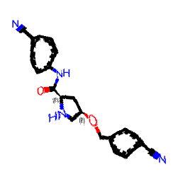 N#Cc1ccc(CO[C@H]2CN[C@@H](C(=O)Nc3ccc(C#N)cc3)C2)cc1